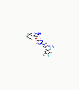 Cc1cc(C2CN(c3ncc(Oc4c[nH]nc4C4=CCC(F)(F)CC4)cn3)CC2N)c(F)cc1F